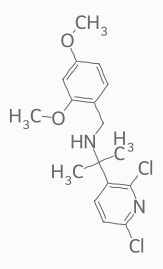 COc1ccc(CNC(C)(C)c2ccc(Cl)nc2Cl)c(OC)c1